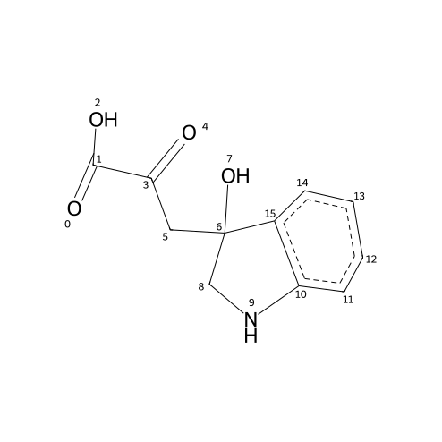 O=C(O)C(=O)CC1(O)CNc2ccccc21